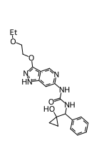 CCOCCOc1n[nH]c2cc(NC(=O)NC(c3ccccc3)C3(O)CC3)ncc12